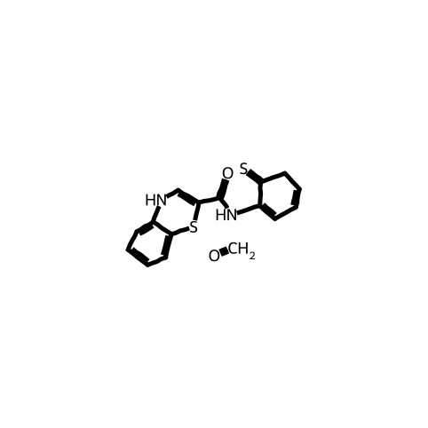 C=O.O=C(NC1=CC=CCC1=S)C1=CNc2ccccc2S1